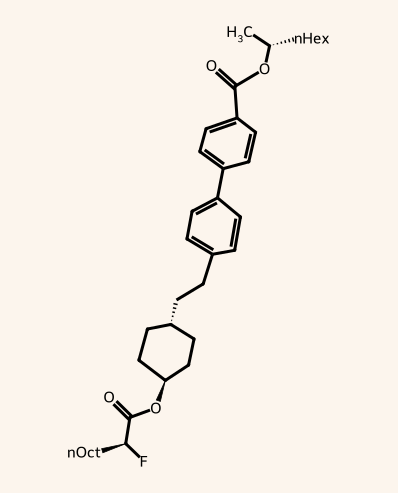 CCCCCCCC[C@H](F)C(=O)O[C@H]1CC[C@H](CCc2ccc(-c3ccc(C(=O)O[C@H](C)CCCCCC)cc3)cc2)CC1